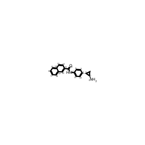 N[C@@H]1C[C@H]1c1ccc(NC(=O)c2ccc3ccccc3c2)cc1